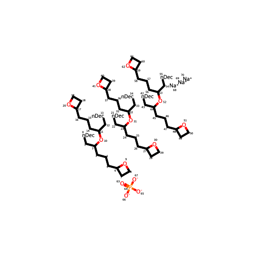 CCCCCCCCCCCC(CCCC1CCO1)OC(CCCCCCCCCCC)CCCC1CCO1.CCCCCCCCCCCC(CCCC1CCO1)OC(CCCCCCCCCCC)CCCC1CCO1.CCCCCCCCCCCC(CCCC1CCO1)OC(CCCCCCCCCCC)CCCC1CCO1.O=P([O-])([O-])[O-].[Na+].[Na+].[Na+]